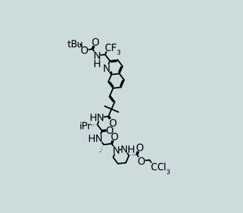 CC(C)[C@H](NC(=O)C(C)(C)/C=C/c1ccc2ccc(C(NC(=O)OC(C)(C)C)C(F)(F)F)nc2c1)C(=O)N[C@@H](C)C(=O)N1CCC[C@@H](C(=O)OCC(Cl)(Cl)Cl)N1